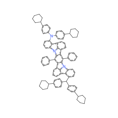 c1ccc(-c2c3c4cccc5c6c(C(c7ccc(C8CCCCC8)cc7)c7ccc(C8CCCCC8)cc7)cccc6n(c3c(-c3ccccc3)c3c6cccc7c8c(N(c9ccc(C%10CCCCC%10)cc9)c9ccc(C%10CCCCC%10)cc9)cccc8n(c23)c76)c54)cc1